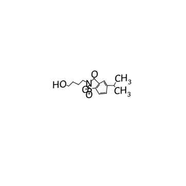 CC(C)c1ccc2c(c1)C(=O)N(CCCCO)S2(=O)=O